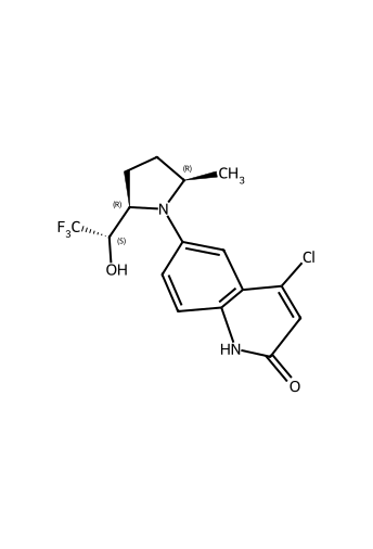 C[C@@H]1CC[C@H]([C@H](O)C(F)(F)F)N1c1ccc2[nH]c(=O)cc(Cl)c2c1